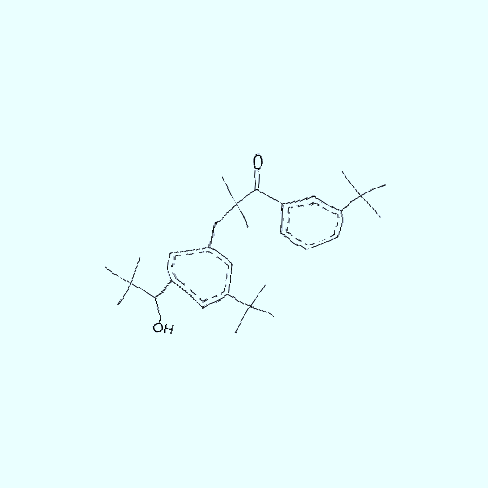 CC(C)(Cc1cc(C(O)C(C)(C)C)cc(C(C)(C)C)c1)C(=O)c1cccc(C(C)(C)C)c1